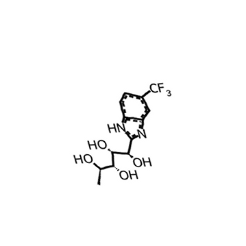 C[C@@H](O)[C@@H](O)[C@H](O)[C@H](O)c1nc2cc(C(F)(F)F)ccc2[nH]1